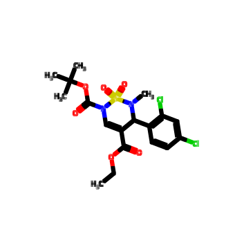 CCOC(=O)C1=CN(C(=O)OC(C)(C)C)S(=O)(=O)N(C)C1c1ccc(Cl)cc1Cl